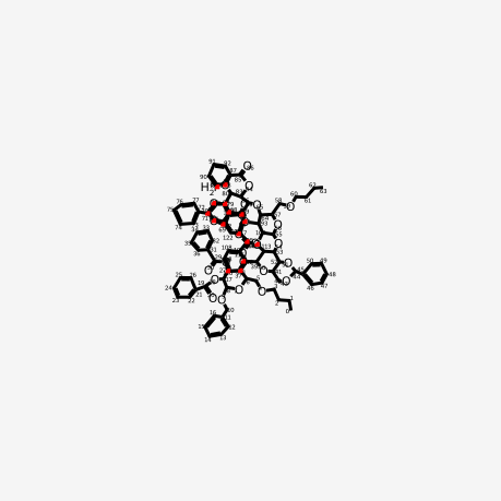 CCCCOCC1OC(OCc2ccccc2)C(OC(=O)c2ccccc2)C(OC(=O)c2ccccc2)C1OC1OC2COC(c3ccccc3)OC2C(OC2OC(COCCCC)C(OC3OC4COC(c5ccccc5)OC4C(OP)C3OC(=O)c3ccccc3)C(OC(=O)c3ccccc3)C2OC(=O)c2ccccc2)C1OC(=O)c1ccccc1